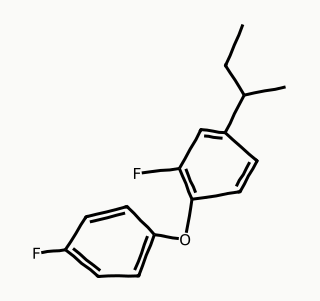 CCC(C)c1ccc(Oc2ccc(F)cc2)c(F)c1